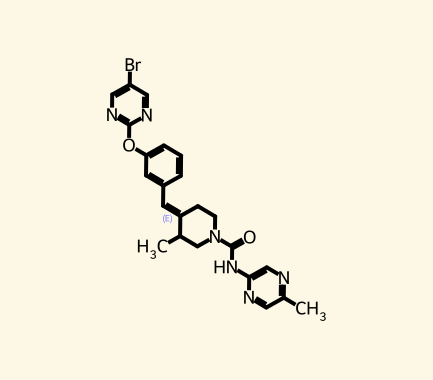 Cc1cnc(NC(=O)N2CC/C(=C\c3cccc(Oc4ncc(Br)cn4)c3)C(C)C2)cn1